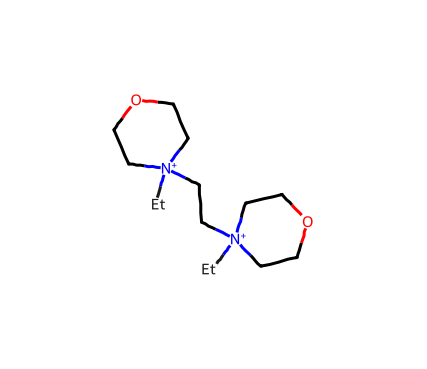 CC[N+]1(CC[N+]2(CC)CCOCC2)CCOCC1